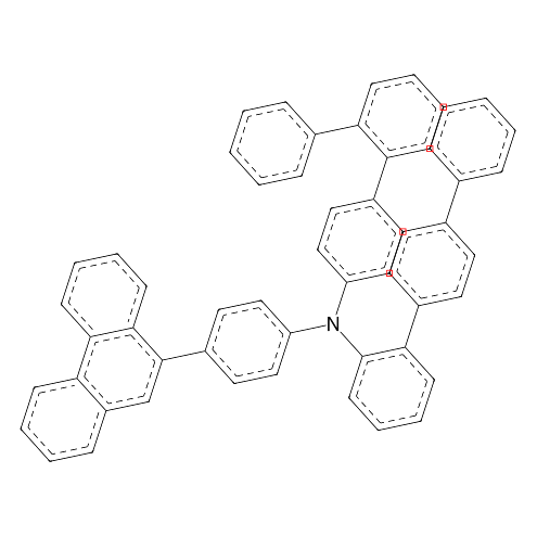 c1ccc(-c2ccc(-c3ccccc3N(c3ccc(-c4ccccc4-c4ccccc4)cc3)c3ccc(-c4cc5ccccc5c5ccccc45)cc3)cc2)cc1